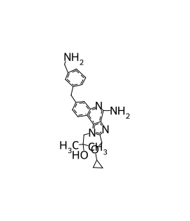 CC(C)(O)Cn1c(COC2CC2)nc2c(N)nc3cc(Cc4cccc(CN)c4)ccc3c21